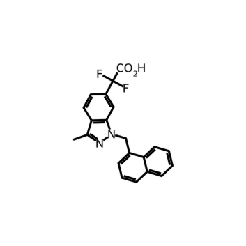 Cc1nn(Cc2cccc3ccccc23)c2cc(C(F)(F)C(=O)O)ccc12